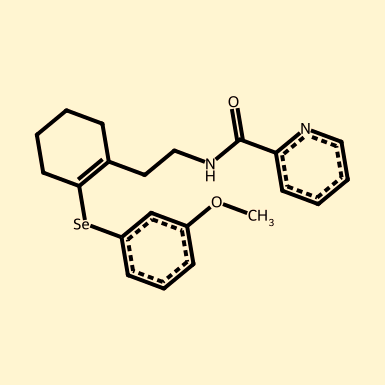 COc1cccc([Se]C2=C(CCNC(=O)c3ccccn3)CCCC2)c1